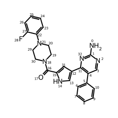 Nc1ncc(-c2ccccc2)c(-c2c[nH]c(C(=O)N3CCN(c4ccccc4F)CC3)c2)n1